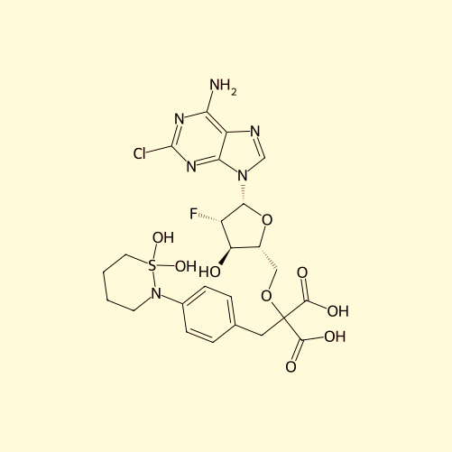 Nc1nc(Cl)nc2c1ncn2[C@@H]1O[C@H](COC(Cc2ccc(N3CCCCS3(O)O)cc2)(C(=O)O)C(=O)O)[C@@H](O)[C@@H]1F